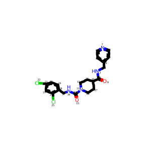 O=C(NCc1ccncc1)C1CCN(C(=O)NCc2ccc(Cl)cc2Cl)CC1